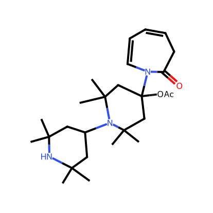 CC(=O)OC1(N2C=CC=CCC2=O)CC(C)(C)N(C2CC(C)(C)NC(C)(C)C2)C(C)(C)C1